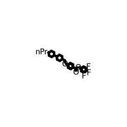 CCCC1CCC(C2CCC(COc3ccc(C(=O)Oc4cc(F)c(F)c(F)c4)cc3)CC2)CC1